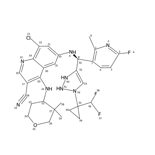 Cc1nc(F)ccc1[C@H](Nc1cc(Cl)c2ncc(C#N)c(NC3CCOCC3(C)C)c2c1)C1=CN(C2(C(F)F)CC2)NN1